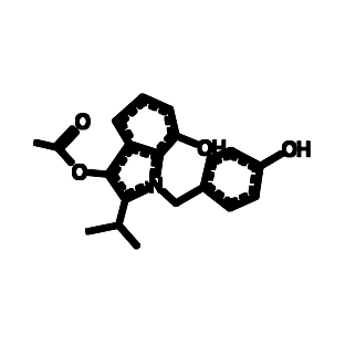 CC(=O)Oc1c(C(C)C)n(Cc2ccc(O)cc2)c2c(O)cccc12